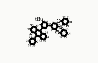 CC(C)(C)c1cc(-c2cc3c4c(c2)Oc2ccccc2B4c2ccccc2O3)cc(-c2c3ccccc3c(-c3ccccc3)c3ccccc23)c1